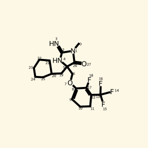 CN1C(=N)NC(COC2=CCCC(C(F)(F)F)=C2F)(CC2CCCCC2)C1=O